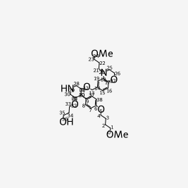 COCCCCOc1ccc([C@@H]2[C@@H](OCc3ccc4c(c3)N(CCCOC)CCO4)CNC[C@H]2OCCCO)cc1